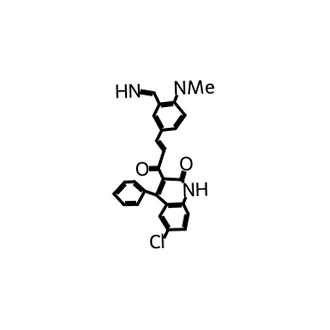 CNc1ccc(/C=C/C(=O)c2c(-c3ccccc3)c3cc(Cl)ccc3[nH]c2=O)cc1C=N